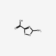 NC1N=C(C(=O)O)SS1